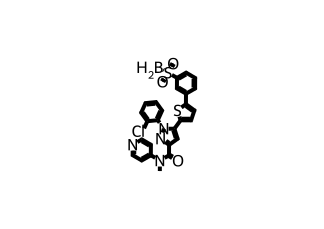 BS(=O)(=O)c1cccc(-c2ccc(-c3cc(C(=O)N(C)c4ccncc4)nn3-c3ccccc3Cl)s2)c1